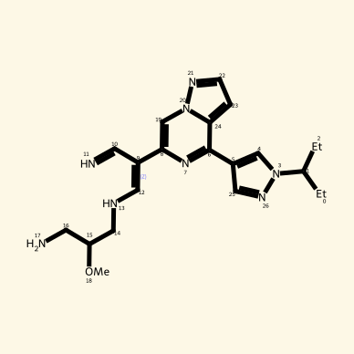 CCC(CC)n1cc(-c2nc(/C(C=N)=C/NCC(CN)OC)cn3nccc23)cn1